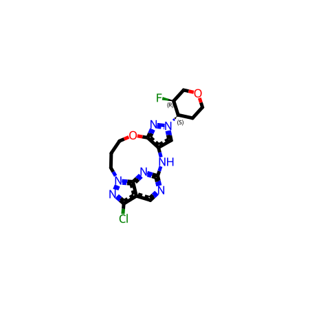 F[C@H]1COCC[C@@H]1n1cc2c(n1)OCCCn1nc(Cl)c3cnc(nc31)N2